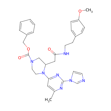 COc1ccc(CCNC(=O)CC2CN(C(=O)OCc3ccccc3)CCN2c2cc(C)nc(-n3ccnc3)n2)cc1